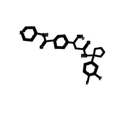 NC(CC(=O)NC1(c2ccc(F)c(F)c2)CCCC1)c1ccc(C(=O)Nc2ccncc2)cc1